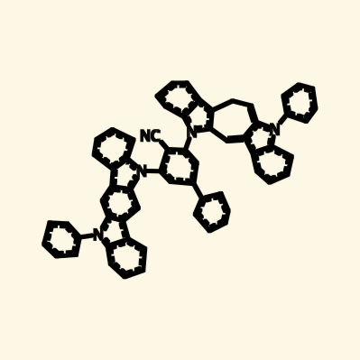 N#Cc1c(-n2c3c(c4ccccc42)CC=c2c(c4ccccc4n2-c2ccccc2)=C3)cc(-c2ccccc2)cc1-n1c2ccccc2c2cc3c(cc21)c1ccccc1n3-c1ccccc1